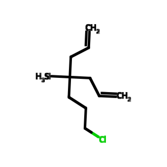 C=CCC([SiH3])(CC=C)CCCCl